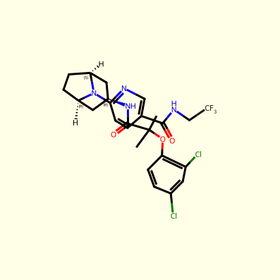 CC(C)(Oc1ccc(Cl)cc1Cl)C(=O)N[C@H]1C[C@H]2CC[C@@H](C1)N2c1ccc(C(=O)NCC(F)(F)F)cn1